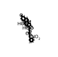 C[C@@H]1C[C@H]2[C@@H]3CCC4=CC(=O)C=C[C@]4(C)[C@@]3(F)[C@@H](O)C[C@]2(C)[C@@]1(O)C(=O)COC(=O)OCc1ccccc1[N+](=O)[O-]